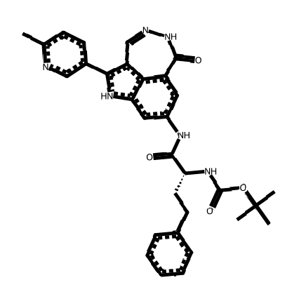 Cc1ccc(-c2[nH]c3cc(NC(=O)[C@@H](CCc4ccccc4)NC(=O)OC(C)(C)C)cc4c3c2C=NNC4=O)cn1